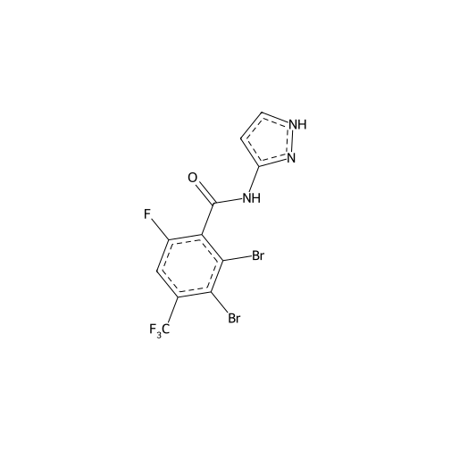 O=C(Nc1cc[nH]n1)c1c(F)cc(C(F)(F)F)c(Br)c1Br